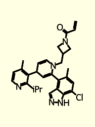 C=CC(=O)N1CC(CN2C=CC(c3c(C)ccnc3C(C)C)C=C2c2c(C)cc(Cl)c3[nH]ncc23)C1